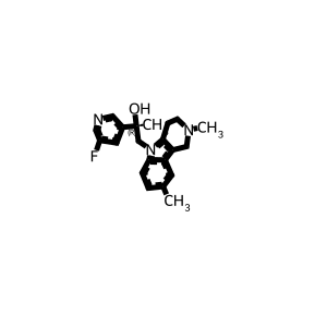 Cc1ccc2c(c1)c1c(n2C[C@](C)(O)c2cncc(F)c2)CCN(C)C1